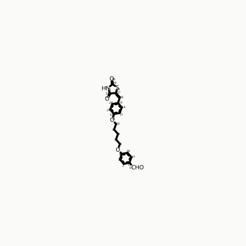 O=Cc1ccc(OCCCCCOc2ccc(/C=C3/SC(=O)NC3=O)cc2)cc1